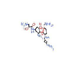 NC[C@@H]1CC[C@@H](NCC2CC(N)C2)[C@@H](OC2[C@H](O)C[C@H](NC(=O)[C@@H](O)CN)C[C@@H]2N)O1